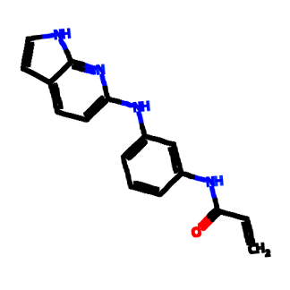 C=CC(=O)Nc1cccc(Nc2ccc3cc[nH]c3n2)c1